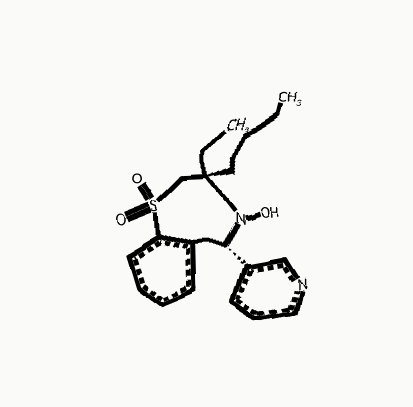 CCCC[C@]1(CC)CS(=O)(=O)c2ccccc2[C@@H](c2cccnc2)N1O